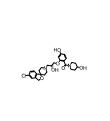 O=C(c1ccc(O)cc1OC[C@H](O)CN1CCC2(CC1)OCc1cc(Cl)ccc12)N1CCC(O)CC1